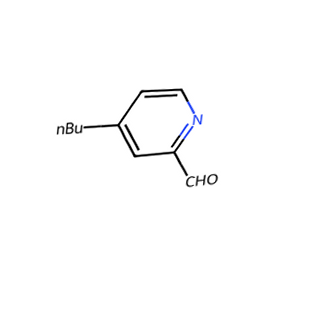 CCCCc1ccnc(C=O)c1